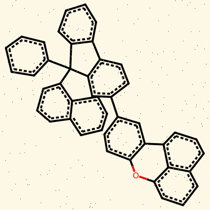 c1ccc(C2(c3cccc4ccccc34)c3ccccc3-c3ccc(-c4ccc5c(c4)-c4cccc6cccc(c46)O5)cc32)cc1